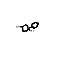 CCCC1CCC(O)(c2ccccc2)CC1